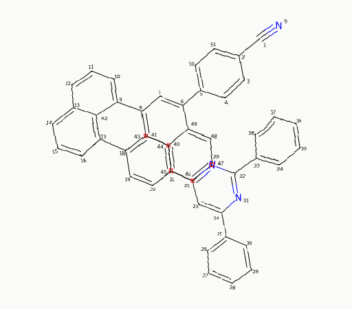 N#Cc1ccc(-c2cc(-c3cccc4cccc(-c5ccc(-c6cc(-c7ccccc7)nc(-c7ccccc7)n6)cc5)c34)cc3ccccc23)cc1